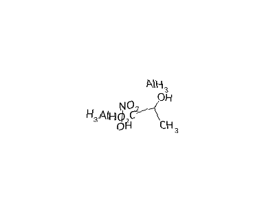 CC(O)C(=O)O.O=[N+]([O-])O.[AlH3].[AlH3]